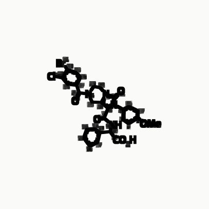 COc1ccc(-n2c(C(=O)NC(C(=O)O)c3ccccc3)c3n(c2=O)CCN(C(=O)c2ccc(Br)c(Cl)c2)C3)cc1